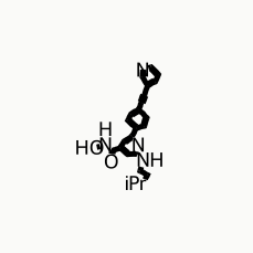 CC(C)CCNc1cc(C(=O)NO)cc(-c2ccc(C#Cc3cccnc3)cc2)n1